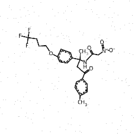 Cc1ccc(C(=O)CC(C)(NC(=O)C[N+](=O)[O-])c2ccc(OCCCC(F)(F)F)cc2)cc1